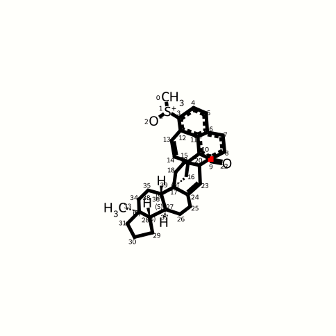 C[S+]([O-])c1ccc2cccc3c2c1C=CC3C[C@]12CCC(C=O)C=C1CC[C@H]1[C@@H]3CCC[C@@]3(C)CC[C@@H]12